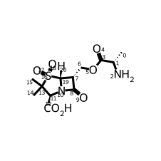 C[C@H](N)C(=O)OC[C@@H]1C(=O)N2[C@@H](C(=O)O)C(C)(C)S(=O)(=O)[C@H]12